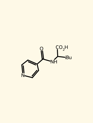 CCC(C)C(NC(=O)c1ccncc1)C(=O)O